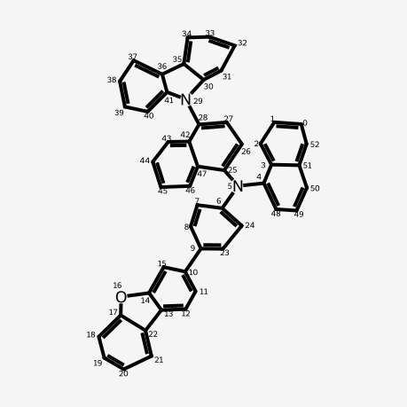 c1ccc2c(N(c3ccc(-c4ccc5c(c4)oc4ccccc45)cc3)c3ccc(-n4c5ccccc5c5ccccc54)c4ccccc34)cccc2c1